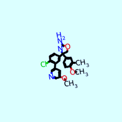 COc1cncc(-c2cc(C3(c4ccc(OC)c(C)c4)COC(N)=N3)ccc2Cl)c1